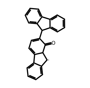 O=C1C(C2c3ccccc3-c3ccccc32)=CC=C2c3ccccc3[C]C12